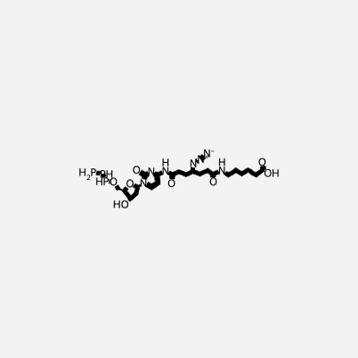 [N-]=[N+]=NC(CCC(=O)NCCCCCC(=O)O)CCC(=O)Nc1ccn([C@H]2C[C@@H](O)[C@@H](COPPP)O2)c(=O)n1